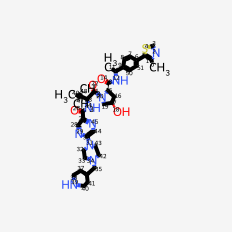 Cc1ncsc1-c1ccc(C(C)NC(=O)[C@@H]2C[C@@H](O)CN2C(=O)C(NC(=O)c2cnc(N3CCN(CC4CCNCC4)CC3)cn2)C(C)(C)C)cc1